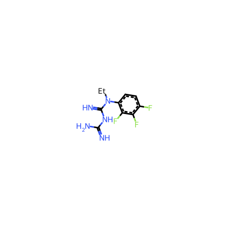 CCN(C(=N)NC(=N)N)c1ccc(F)c(F)c1F